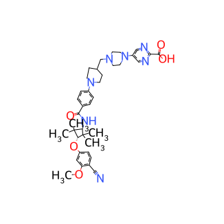 COc1cc(O[C@H]2C(C)(C)[C@H](NC(=O)c3ccc(N4CCC(CN5CCN(c6cnc(C(=O)O)nc6)CC5)CC4)cc3)C2(C)C)ccc1C#N